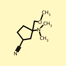 COCC1(N(C)C)CCC(C#N)C1